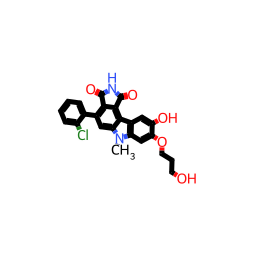 Cn1c2cc(OCCCO)c(O)cc2c2c3c(c(-c4ccccc4Cl)cc21)C(=O)NC3=O